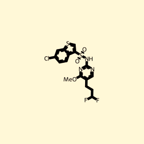 COc1nc(NS(=O)(=O)c2csc3cc(Cl)ccc23)ncc1CCC(F)F